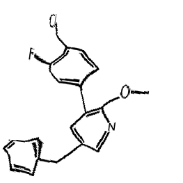 COc1ncc(Cc2c[c]ccc2)cc1-c1ccc(Cl)c(F)c1